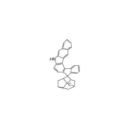 c1ccc2c(c1)-c1c(ccc3[nH]c4cc5ccccc5cc4c13)C21C2CC3CC4CC1C2(C3)C4